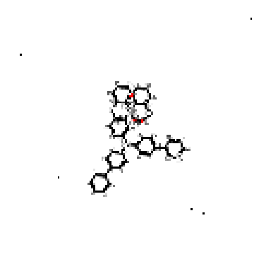 c1ccc(-c2ccc(N(c3ccc(-c4ccccc4)cc3)c3ccc4c(c3)[Si]3(c5ccccc5Oc5ccccc53)c3ccccc3S4)cc2)cc1